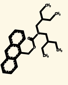 CCC(CC)CN(CC(CC)CC)C(=O)OCc1c2ccccc2cc2ccccc12